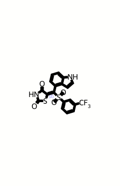 O=C1NC(=O)/C(=C(\c2cccc3[nH]ccc23)S(=O)(=O)c2cccc(C(F)(F)F)c2)S1